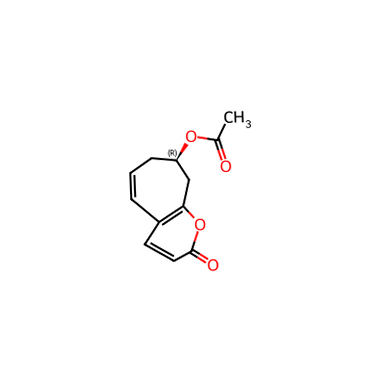 CC(=O)O[C@@H]1CC=Cc2ccc(=O)oc2C1